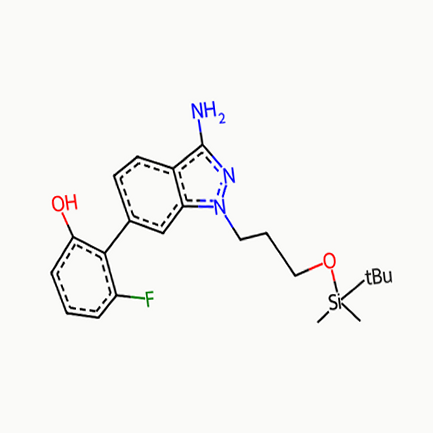 CC(C)(C)[Si](C)(C)OCCCn1nc(N)c2ccc(-c3c(O)cccc3F)cc21